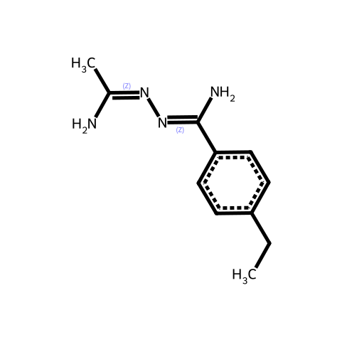 CCc1ccc(/C(N)=N/N=C(/C)N)cc1